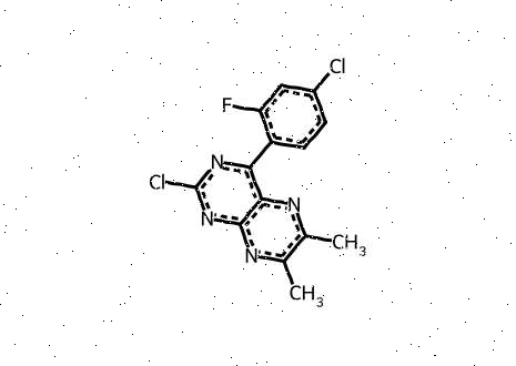 Cc1nc2nc(Cl)nc(-c3ccc(Cl)cc3F)c2nc1C